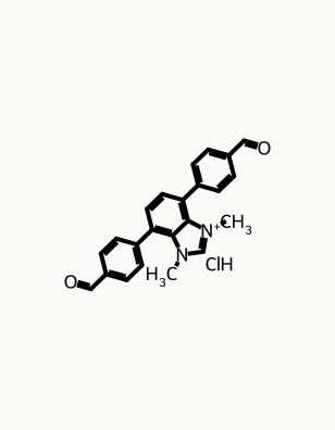 Cl.Cn1c[n+](C)c2c(-c3ccc(C=O)cc3)ccc(-c3ccc(C=O)cc3)c21